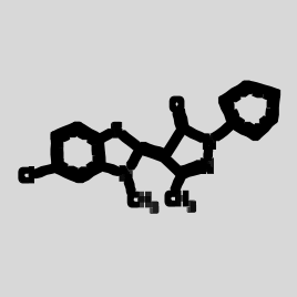 CC1=NN(c2ccccc2)C(=O)C1=C1Sc2ccc(Cl)cc2N1C